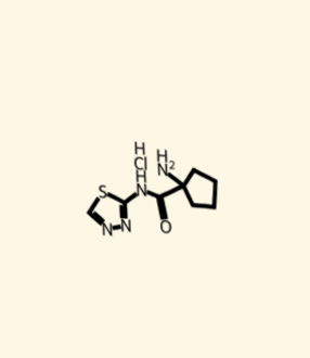 Cl.NC1(C(=O)Nc2nncs2)CCCC1